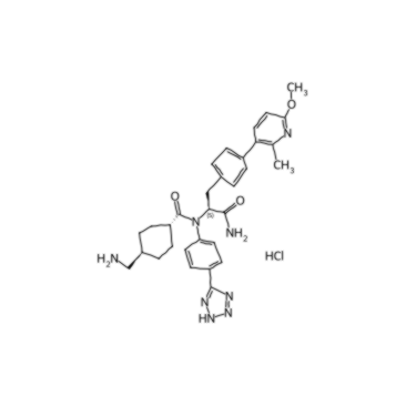 COc1ccc(-c2ccc(C[C@@H](C(N)=O)N(c3ccc(-c4nn[nH]n4)cc3)C(=O)[C@H]3CC[C@H](CN)CC3)cc2)c(C)n1.Cl